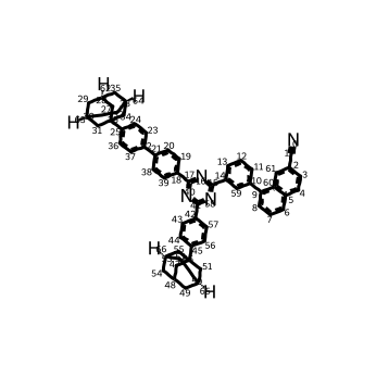 N#Cc1ccc2cccc(-c3cccc(-c4nc(-c5ccc(-c6ccc(C78C[C@H]9C[C@@H](C7)C[C@@H](C8)C9)cc6)cc5)nc(-c5ccc(C67CC8C[C@H](C6)C[C@@H](C8)C7)cc5)n4)c3)c2c1